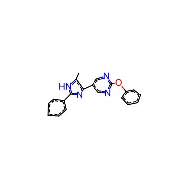 Cc1[nH]c(-c2ccccc2)nc1-c1cnc(Oc2ccccc2)nc1